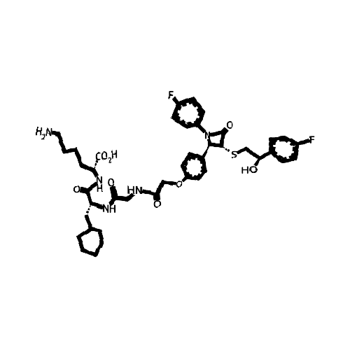 NCCCC[C@@H](NC(=O)[C@@H](CC1CCCCC1)NC(=O)CNC(=O)COc1ccc([C@@H]2[C@@H](SC[C@H](O)c3ccc(F)cc3)C(=O)N2c2ccc(F)cc2)cc1)C(=O)O